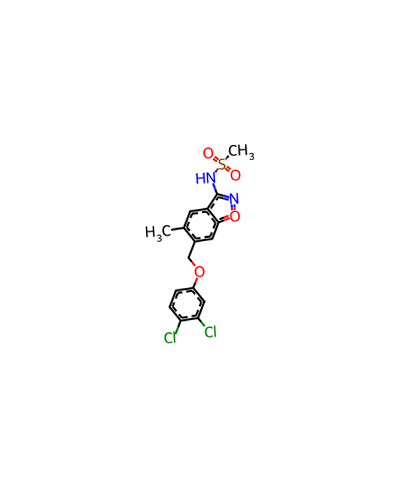 Cc1cc2c(NS(C)(=O)=O)noc2cc1COc1ccc(Cl)c(Cl)c1